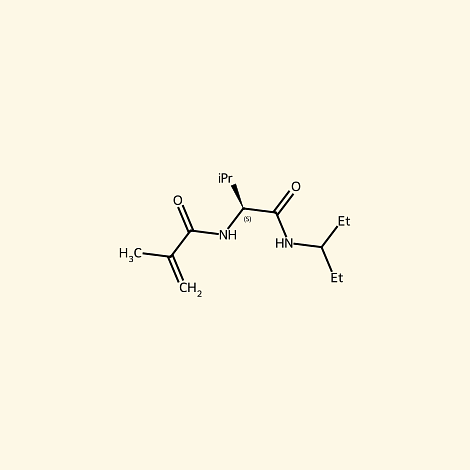 C=C(C)C(=O)N[C@H](C(=O)NC(CC)CC)C(C)C